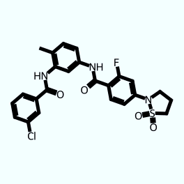 Cc1ccc(NC(=O)c2ccc(N3CCCS3(=O)=O)cc2F)cc1NC(=O)c1cccc(Cl)c1